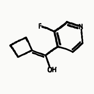 OC(=C1CCC1)c1ccncc1F